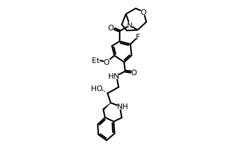 CCOc1cc(C(=O)N2C3CCC2COC3)c(F)cc1C(=O)NC[C@@H](O)[C@@H]1Cc2ccccc2CN1